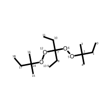 CCC(C)(C)OOC(CC)(CC)OOC(C)(C)CC